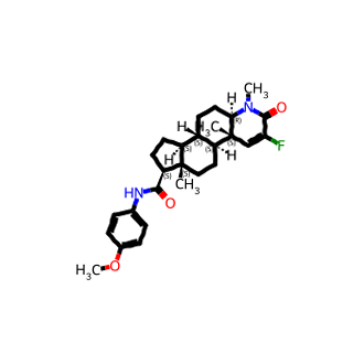 COc1ccc(NC(=O)[C@H]2CC[C@H]3[C@@H]4CC[C@H]5N(C)C(=O)C(F)=C[C@]5(C)[C@H]4CC[C@]23C)cc1